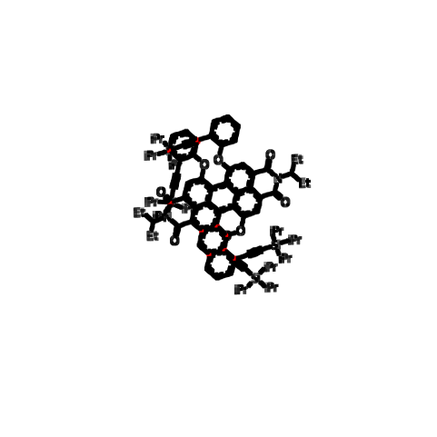 CCC(CC)N1C(=O)c2cc(Oc3ccccc3C#C[Si](C(C)C)(C(C)C)C(C)C)c3c4c(Oc5ccccc5C#C[Si](C(C)C)(C(C)C)C(C)C)cc5c6c(cc(Oc7ccccc7C#C[Si](C(C)C)(C(C)C)C(C)C)c(c7c(Oc8ccccc8C#C[Si](C(C)C)(C(C)C)C(C)C)cc(c2c37)C1=O)c64)C(=O)N(C(CC)CC)C5=O